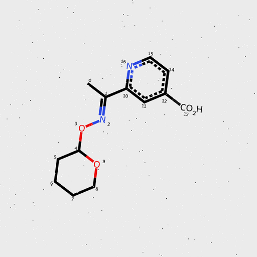 C/C(=N\OC1CCCCO1)c1cc(C(=O)O)ccn1